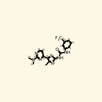 Cc1nc(NC(=O)Nc2cccc(C(F)(F)F)c2)sc1-c1ccnc(N(C)C)n1